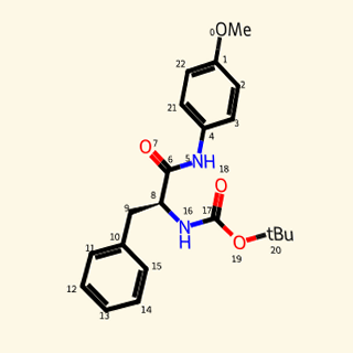 COc1ccc(NC(=O)[C@H](Cc2ccccc2)NC(=O)OC(C)(C)C)cc1